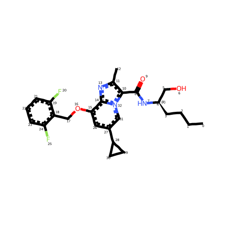 CCCC[C@H](CO)NC(=O)c1c(C)nc2c(OCc3c(F)cccc3F)cc(C3CC3)cn12